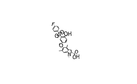 Cc1cc2c(cc(C(=O)O)n2C)c(C)c1Oc1ccc(O)c(S(=O)(=O)c2ccc(F)cc2)c1